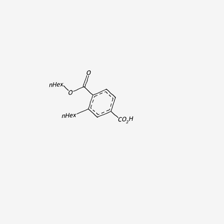 CCCCCCOC(=O)c1ccc(C(=O)O)cc1CCCCCC